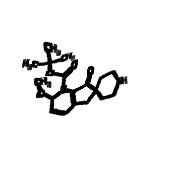 COC1C=CC2=C(C(=O)C3(CCNCC3)C2)N1C(=O)OC(C)(C)C